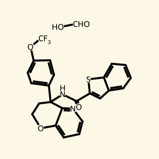 O=C(NC1(c2ccc(OC(F)(F)F)cc2)CCOc2cccnc21)c1cc2ccccc2s1.O=CO